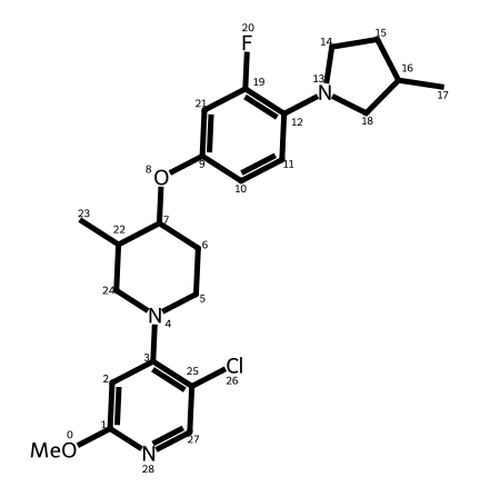 COc1cc(N2CCC(Oc3ccc(N4CCC(C)C4)c(F)c3)C(C)C2)c(Cl)cn1